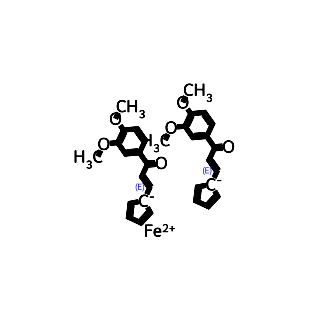 COc1ccc(C(=O)/C=C/[c-]2cccc2)cc1OC.COc1ccc(C(=O)/C=C/[c-]2cccc2)cc1OC.[Fe+2]